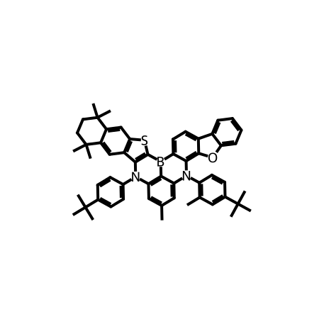 Cc1cc2c3c(c1)N(c1ccc(C(C)(C)C)cc1C)c1c(ccc4c1oc1ccccc14)B3c1sc3cc4c(cc3c1N2c1ccc(C(C)(C)C)cc1)C(C)(C)CCC4(C)C